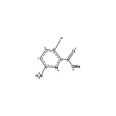 COC(=O)c1nc(N)ccc1I